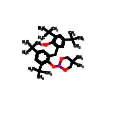 CC1(C)COP(Oc2c(Cc3cc(C(C)(C)C)cc(C(C)(C)C)c3O)cc(C(C)(C)C)cc2C(C)(C)C)OC1